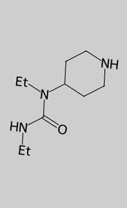 CCNC(=O)N(CC)C1CCNCC1